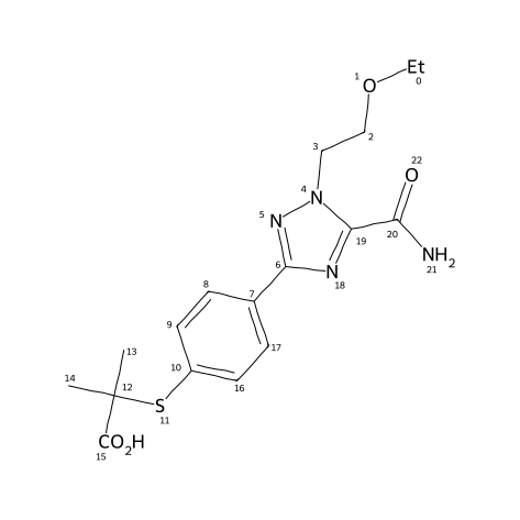 CCOCCn1nc(-c2ccc(SC(C)(C)C(=O)O)cc2)nc1C(N)=O